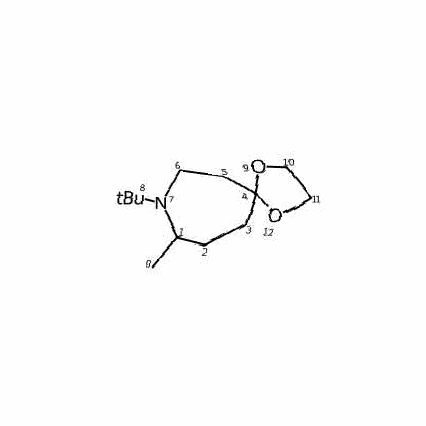 CC1CCC2(CCN1C(C)(C)C)OCCO2